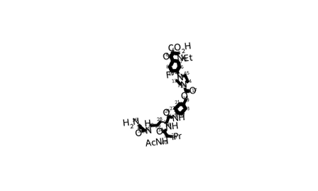 CCn1cc(C(=O)O)c(=O)c2cc(F)c(N3CCN(C(=O)OCc4ccc(NC(=O)[C@H](CCCNC5OC5N)NC(=O)[C@@H](NC(C)=O)C(C)C)cc4)CC3)cc21